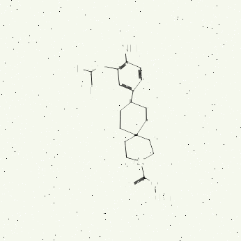 CC(C)(C)OC(=O)N1CCC2(CCC(c3ccc(N)c(OC(F)F)c3)CC2)CC1